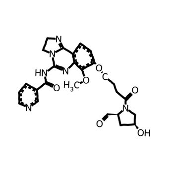 COc1c(OCCCC(=O)N2C[C@@H](O)C[C@H]2C=O)ccc2c1N=C(NC(=O)c1cccnc1)N1CCN=C21